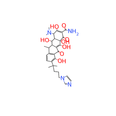 CC1c2ccc(C(C)(C)CCCn3ccnc3)c(O)c2C(=O)C2=C(O)C3(O)C(=O)C(C(N)=O)=C(O)C(N(C)C)C3C(O)C21